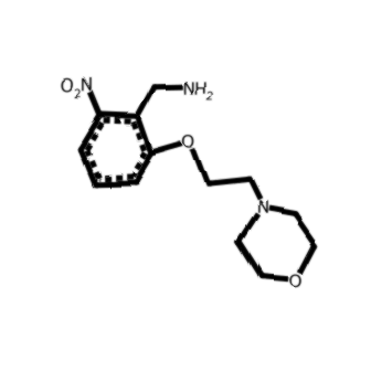 NCc1c(OCCN2CCOCC2)cccc1[N+](=O)[O-]